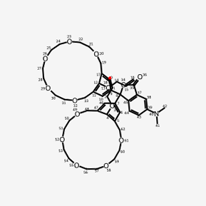 C=CCOc1c2cc(C3(c4cc5c(OCC=C)c(c4)COCCOCCOCCOCCOC5)OC(=O)c4cc(N(C)C)ccc43)cc1COCCOCCOCCOCCOC2